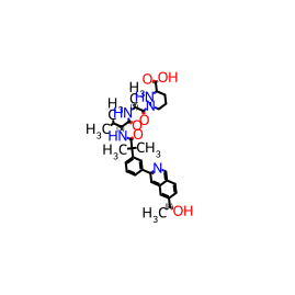 CC(C)[C@H](NC(=O)C(C)(C)c1cccc(-c2cc3cc([C@@H](C)O)ccc3cn2)c1)C(=O)N[C@@H](C)C(=O)N1CCCC(C(=O)O)N1